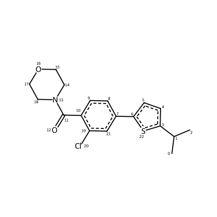 CC(C)c1ccc(-c2ccc(C(=O)N3CCOCC3)c(Cl)c2)s1